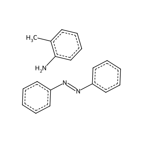 Cc1ccccc1N.c1ccc(N=Nc2ccccc2)cc1